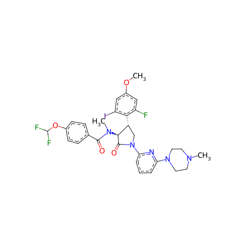 COc1cc(F)c([C@@H]2CN(c3cccc(N4CCN(C)CC4)n3)C(=O)[C@H]2N(C)C(=O)c2ccc(OC(F)F)cc2)c(I)c1